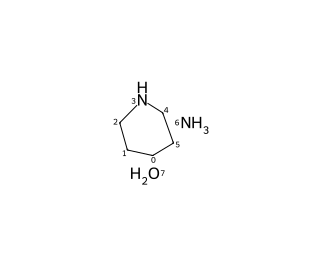 C1CCNCC1.N.O